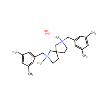 Cc1cc(C)cc(C[N+]2(C)CCC3(CC[N+](C)(Cc4cc(C)cc(C)c4)C3)C2)c1.[OH-].[OH-]